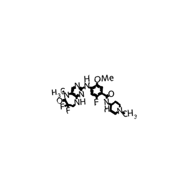 COc1cc(C(=O)NC2CCN(C)CC2)c(F)cc1Nc1ncc2c(n1)NCC(F)(F)C(=O)N2C